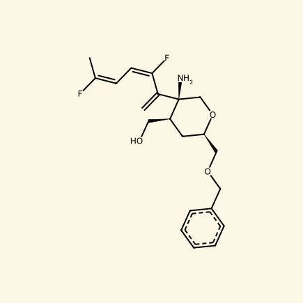 C=C(/C(F)=C\C=C(/C)F)[C@]1(N)CO[C@@H](COCc2ccccc2)C[C@H]1CO